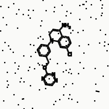 NC1=CCN(c2cccc(COc3nccnn3)c2)c2cc(Cl)ccc21